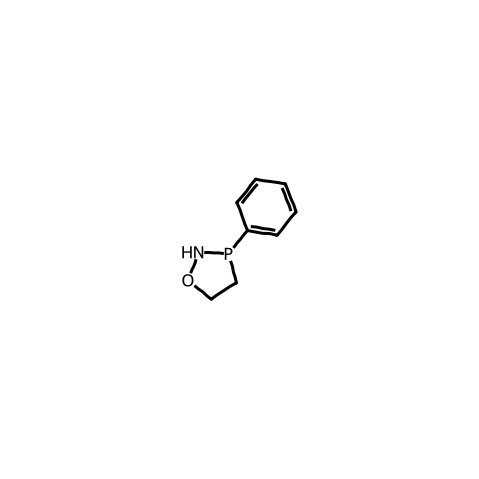 c1ccc(P2CCON2)cc1